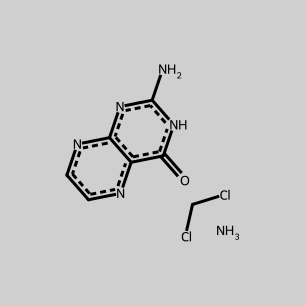 ClCCl.N.Nc1nc2nccnc2c(=O)[nH]1